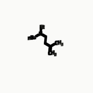 C=C(C)CCN(CC)CCCC